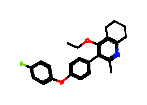 CCOc1c2c(nc(C)c1-c1ccc(Oc3ccc(F)cc3)cc1)CCCC2